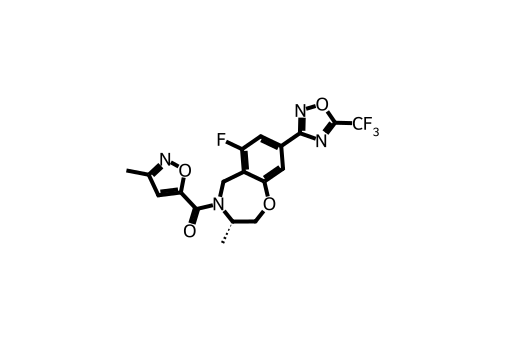 Cc1cc(C(=O)N2Cc3c(F)cc(-c4noc(C(F)(F)F)n4)cc3OC[C@@H]2C)on1